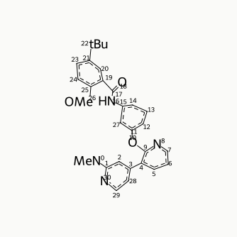 CNc1cc(-c2cccnc2Oc2cccc(NC(=O)c3cc(C(C)(C)C)ccc3OC)c2)ccn1